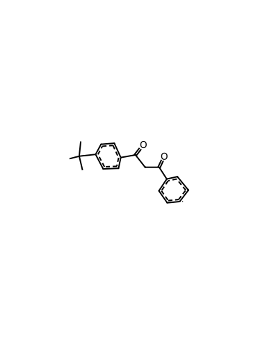 CC(C)(C)c1ccc(C(=O)CC(=O)c2cc[c]cc2)cc1